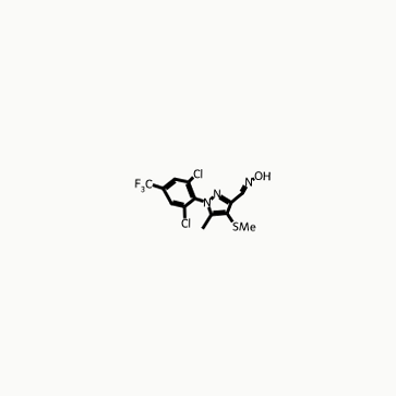 CSc1c(C=NO)nn(-c2c(Cl)cc(C(F)(F)F)cc2Cl)c1C